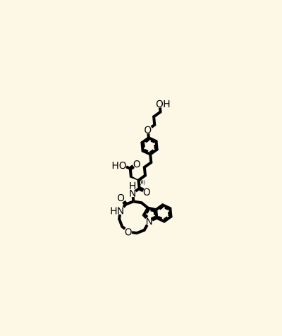 O=C(O)C[C@@H](CCCc1ccc(OCCCO)cc1)C(=O)NC1Cc2cn(c3ccccc23)CCOCCNC1=O